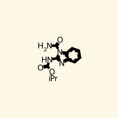 CC(C)OC(=O)Nc1nc2ccccc2n1C(N)=O